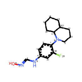 O/N=C/Nc1ccc(N2CCCC3CCCCC32)c(F)c1